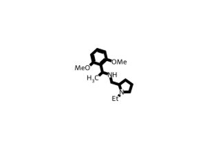 CCN1CCCC1CNC(C)c1c(OC)cccc1OC